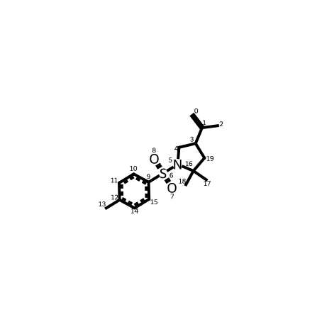 C=C(C)C1CN(S(=O)(=O)c2ccc(C)cc2)C(C)(C)C1